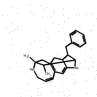 CC1C2NC3=CC4=C(CC3C2Cc2ccccc2)CC1(C)NC/C=C\4